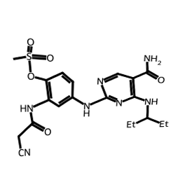 CCC(CC)Nc1nc(Nc2ccc(OS(C)(=O)=O)c(NC(=O)CC#N)c2)ncc1C(N)=O